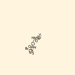 CSc1ncc(Br)c(C(=O)Nc2ccc(CC(=O)Nc3cc(C(C)(C)C)on3)cc2)n1